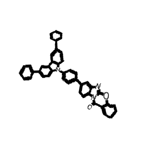 O=c1c2ccccc2oc2nc3cc(-c4ccc(-n5c6ccc(-c7ccccc7)cc6c6cc(-c7ccccc7)ccc65)cc4)ccc3n12